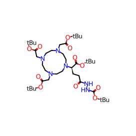 CC(C)(C)OC(=O)CN1CCN(CC(=O)OC(C)(C)C)CCN([C@H](CCC(=O)NNC(=O)OC(C)(C)C)C(=O)OC(C)(C)C)CCN(CC(=O)OC(C)(C)C)CC1